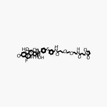 C[C@]12C=CC(=O)C=C1[C@@H](F)C[C@H]1C3C[C@H]4O[C@@H](c5ccc(Sc6cccc(NC(=O)CCOCCOCCNC(=O)CCN7C(=O)C=CC7=O)c6)cc5)O[C@@]4(C(=O)CO)[C@@]3(C)C[C@H](O)[C@@]12F